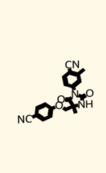 Cc1cc(N2C(=O)NC(C)(COc3ccc(C#N)cc3)C2=O)ccc1C#N